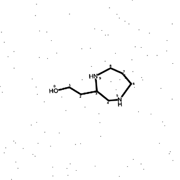 OCCC1CNCCCN1